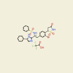 O=C(O)C(F)(F)F.O=C1CC(c2ccc(C[C@H](NS(=O)(=O)c3ccccc3)c3ncc(-c4ccccc4)[nH]3)cc2Br)S(=O)(=O)N1